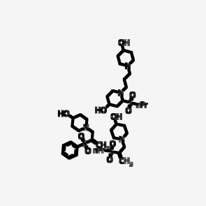 C=C(CN1CCC(O)CC1)S(=O)(=O)CCC.C=C(CN1CCC(O)CC1)S(=O)(=O)c1ccccc1.CCCS(=O)(=O)C1CC(O)CCN1CCCN1CCC(O)CC1